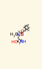 CN(CC[C@H]1CNC[C@@H]1O)CC(=O)OCc1ccccc1